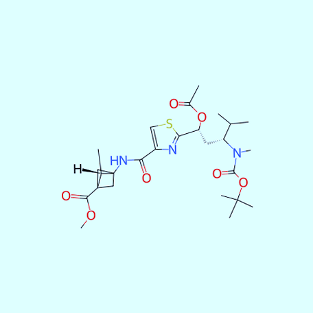 COC(=O)C12CC(NC(=O)c3csc([C@@H](C[C@H](C(C)C)N(C)C(=O)OC(C)(C)C)OC(C)=O)n3)(C1)[C@H]2C